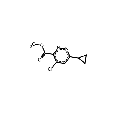 COC(=O)c1nnc(C2CC2)cc1Cl